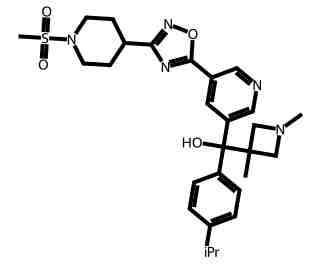 CC(C)c1ccc(C(O)(c2cncc(-c3nc(C4CCN(S(C)(=O)=O)CC4)no3)c2)C2(C)CN(C)C2)cc1